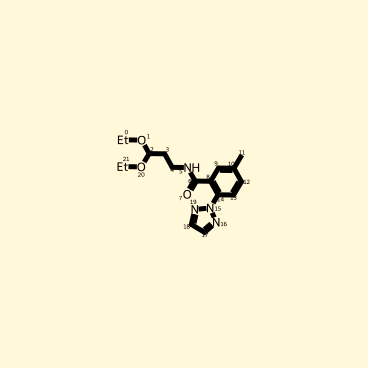 CCOC(CCNC(=O)c1cc(C)ccc1-n1nccn1)OCC